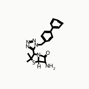 CC1(C)S[C@H]2C(N)C(=O)N2C1c1nnnn1Cc1ccc(-c2ccccc2)cc1